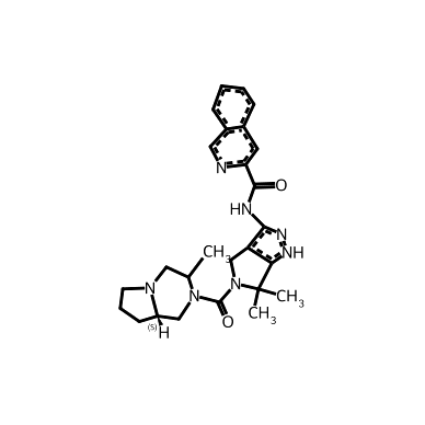 CC1CN2CCC[C@H]2CN1C(=O)N1Cc2c(NC(=O)c3cc4ccccc4cn3)n[nH]c2C1(C)C